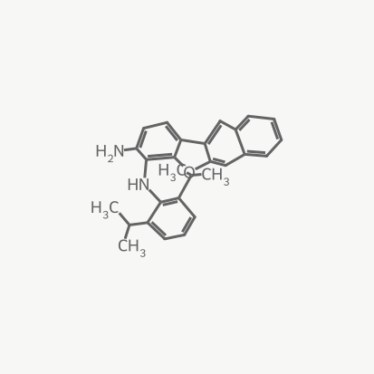 CC(C)c1cccc(C(C)C)c1Nc1c(N)ccc2c1oc1cc3ccccc3cc12